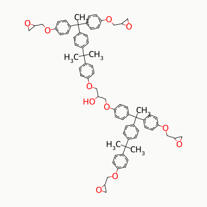 CC(C)(c1ccc(OCC2CO2)cc1)c1ccc(C(C)(c2ccc(OCC(O)COc3ccc(C(C)(C)c4ccc(C(C)(c5ccc(OCC6CO6)cc5)c5ccc(OCC6CO6)cc5)cc4)cc3)cc2)c2ccc(OCC3CO3)cc2)cc1